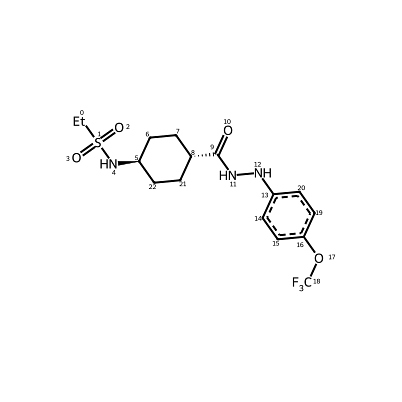 CCS(=O)(=O)N[C@H]1CC[C@H](C(=O)NNc2ccc(OC(F)(F)F)cc2)CC1